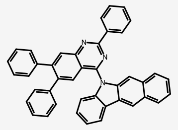 c1ccc(-c2nc(-n3c4ccccc4c4cc5ccccc5cc43)c3cc(-c4ccccc4)c(-c4ccccc4)cc3n2)cc1